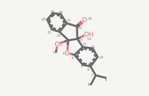 COC12Oc3cc(C(C)C)ccc3C1(O)C(=O)c1ccccc12